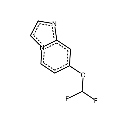 FC(F)Oc1ccn2ccnc2c1